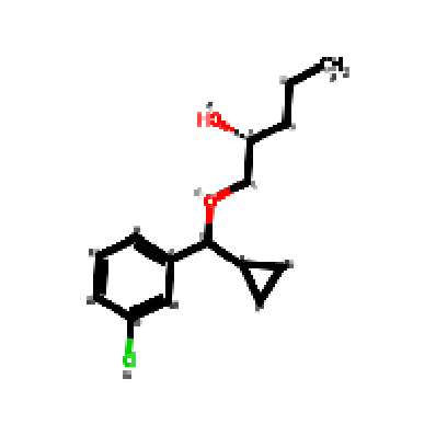 CCC[C@@H](O)COC(c1cccc(Cl)c1)C1CC1